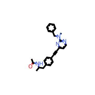 CC(=O)NC(C)Cc1ccc(C#Cc2ccnc(N(C)Cc3ccccc3)n2)cc1